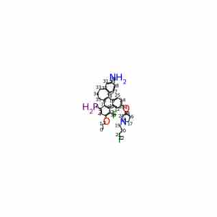 CCOc1cc(P)c(C2=C(c3ccc(O[C@H]4CCN(CCCF)C4)cc3)c3ccc(N)cc3CCC2)cc1F